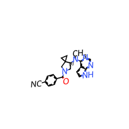 CN(c1ncnc2[nH]ccc12)[C@H]1CN(C(=O)c2ccc(C#N)cc2)CC12CC2